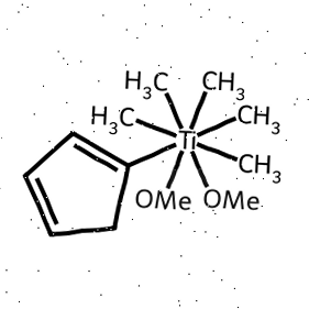 C[O][Ti]([CH3])([CH3])([CH3])([CH3])([CH3])([O]C)[C]1=CC=CC1